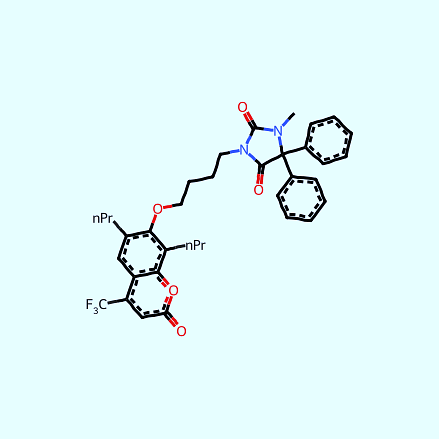 CCCc1cc2c(C(F)(F)F)cc(=O)oc2c(CCC)c1OCCCCN1C(=O)N(C)C(c2ccccc2)(c2ccccc2)C1=O